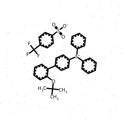 CC(C)(C)Oc1ccccc1-c1ccc([S+](c2ccccc2)c2ccccc2)cc1.O=S(=O)([O-])c1ccc(C(F)(F)F)cc1